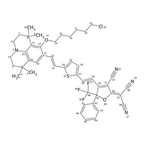 CC1(C)CCN2CCC(C)(C)c3c(OCCCCCCCl)c(/C=C/c4ccc(/C=C/C5=C(C#N)C(=C(C#N)C#N)OC5(c5ccccc5)C(F)(F)F)s4)cc1c32